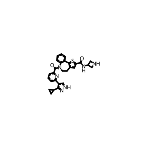 O=C(NC1CNC1)c1cc2c(s1)-c1ccccc1N(C(=O)c1cccc(-c3c[nH]nc3C3CC3)n1)CC2